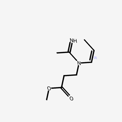 C/C=C\N(CCC(=O)OC)C(C)=N